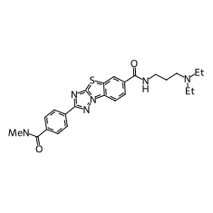 CCN(CC)CCCNC(=O)c1ccc2c(c1)sc1nc(-c3ccc(C(=O)NC)cc3)nn12